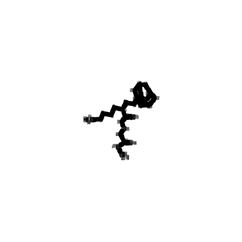 CCCCCN(CCC12CC3CC(CC(C3)C1)C2)C(=O)COCC(=O)OC